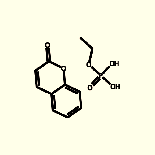 CCOP(=O)(O)O.O=c1ccc2ccccc2o1